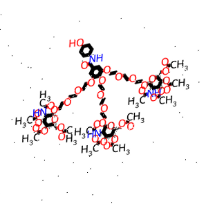 CC(=O)N[C@H]1[C@H](OCCOCCOCCOc2cc(C(=O)N[C@H]3CC[C@H](O)CC3)cc(OCCOCCOCCO[C@@H]3O[C@H](COC(C)=O)[C@H](OC(C)=O)[C@H](OC(C)=O)[C@H]3NC(C)=O)c2OCCOCCOCCO[C@@H]2O[C@H](COC(C)=O)[C@H](OC(C)=O)[C@H](OC(C)=O)[C@H]2NC(C)=O)O[C@H](COC(C)=O)[C@H](OC(C)=O)[C@@H]1OC(C)=O